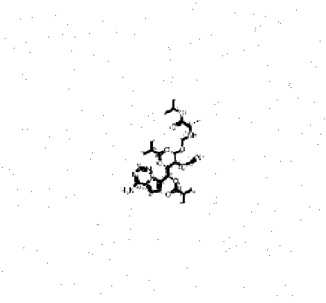 CC(C)OC(=O)[C@H](C)NCOC[C@@H](OC#N)[C@@H](OC(=O)C(C)C)[C@@H](OC(=O)C(C)C)c1ccc2c(N)ncnn12